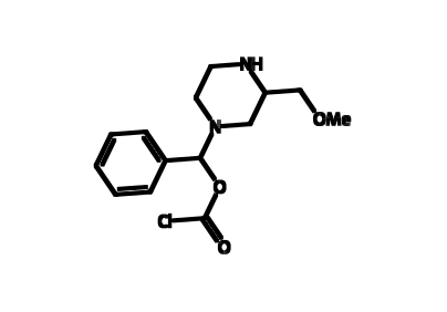 COCC1CN(C(OC(=O)Cl)c2ccccc2)CCN1